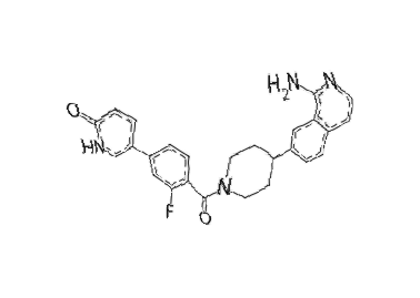 Nc1nccc2ccc(C3CCN(C(=O)c4ccc(-c5ccc(=O)[nH]c5)cc4F)CC3)cc12